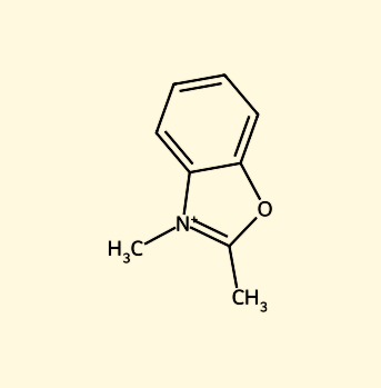 Cc1oc2ccccc2[n+]1C